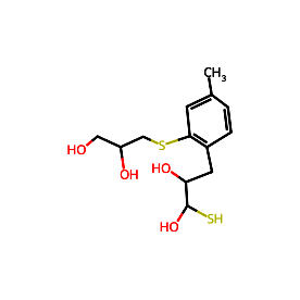 Cc1ccc(CC(O)C(O)S)c(SCC(O)CO)c1